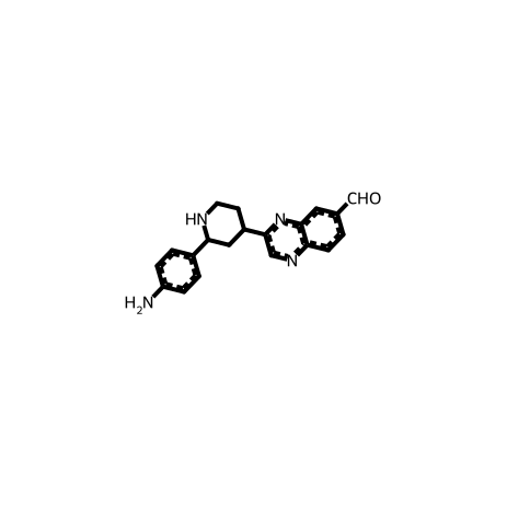 Nc1ccc(C2CC(c3cnc4ccc(C=O)cc4n3)CCN2)cc1